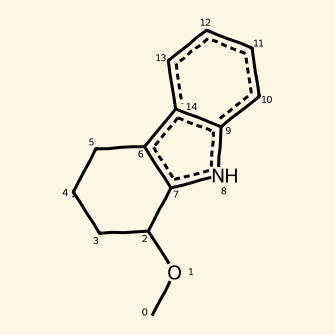 COC1C[CH]Cc2c1[nH]c1ccccc21